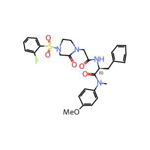 COc1ccc(N(C)C(=O)[C@H](Cc2ccccc2)NC(=O)CN2CCN(S(=O)(=O)c3ccccc3F)CC2=O)cc1